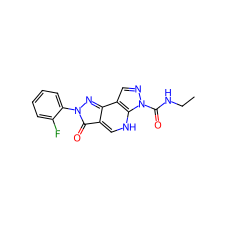 CCNC(=O)n1ncc2c3nn(-c4ccccc4F)c(=O)c-3c[nH]c21